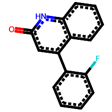 O=c1cc(-c2ccccc2F)c2ccccc2[nH]1